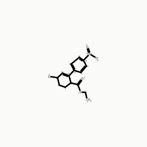 CCOC(=O)C1CCC(Cl)C=C1c1ccc([N+](=O)[O-])cc1